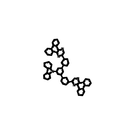 c1cc(-c2cc(-c3cccc(-c4cnc5c6ccccc6c6ccccc6c5n4)c3)cc(-n3c4ccccc4c4ccccc43)c2)cc(-c2cnc3c4ccccc4c4ccccc4c3n2)c1